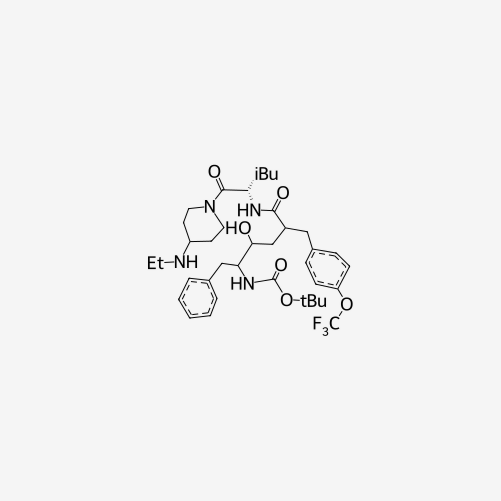 CCNC1CCN(C(=O)[C@@H](NC(=O)C(Cc2ccc(OC(F)(F)F)cc2)CC(O)C(Cc2ccccc2)NC(=O)OC(C)(C)C)[C@@H](C)CC)CC1